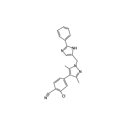 Cc1nn(Cc2cnc(-c3ccccc3)[nH]2)c(C)c1-c1ccc(C#N)c(Cl)c1